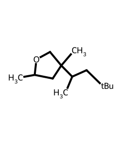 CC1CC(C)(C(C)CC(C)(C)C)CO1